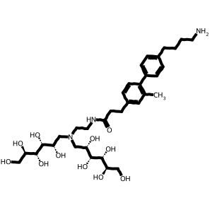 Cc1cc(CCC(=O)NCCN(C[C@H](O)[C@@H](O)[C@H](O)[C@H](O)CO)C[C@H](O)[C@@H](O)[C@H](O)[C@H](O)CO)ccc1-c1ccc(CCCCN)cc1